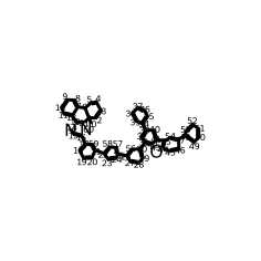 CC12C=CC=CC1c1ccccc1-c1ncc(-c3cccc(-c4ccc(-c5cccc(-c6cc(-c7ccccc7)cc7c6oc6ccc(-c8ccccc8)cc67)c5)cc4)c3)nc12